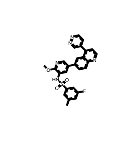 COc1ncc(-c2ccc3nccc(-c4ccnnc4)c3c2)cc1NS(=O)(=O)c1cc(C)cc(F)c1